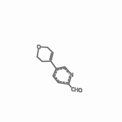 O=Cc1ccc(C2=CCOCC2)cn1